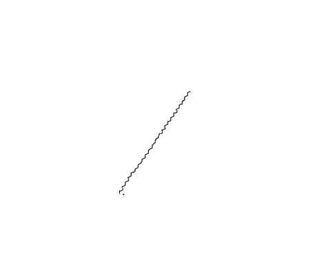 [CH2]CCCCCCCCCCCCCCCCCCCCCCCCCCCCCCCCCCCCCCCCCCCCCC